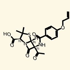 C=CCOc1ccc(C(=O)N[C@@]2(C(C)=O)C(=O)N3[C@@H](C(=O)O)C(C)(C)S[C@@H]32)cc1